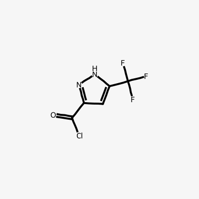 O=C(Cl)c1cc(C(F)(F)F)[nH]n1